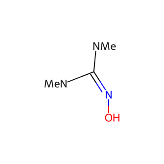 CNC(=NO)NC